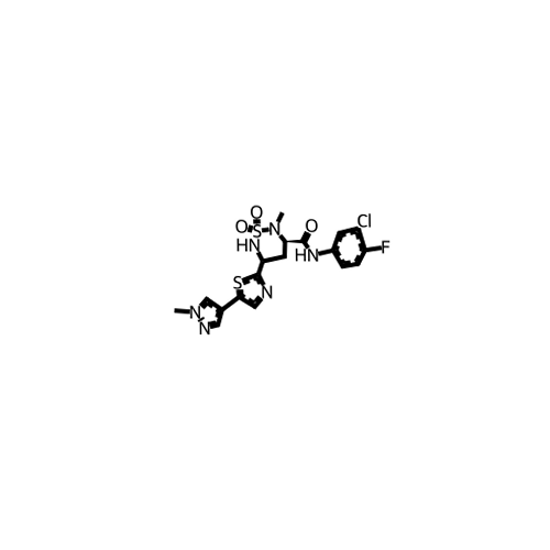 CN1[C@@H](C(=O)Nc2ccc(F)c(Cl)c2)CC(c2ncc(-c3cnn(C)c3)s2)NS1(=O)=O